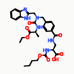 CCCCOC(=O)N[C@@H](CNC(=O)c1ccc(CN(Cc2nc3ccccc3[nH]2)C(=O)N[C@@H](C)C(=O)OCC)cc1)C(=O)O